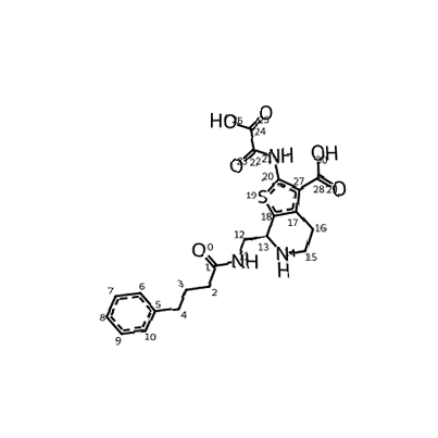 O=C(CCCc1ccccc1)NC[C@@H]1NCCc2c1sc(NC(=O)C(=O)O)c2C(=O)O